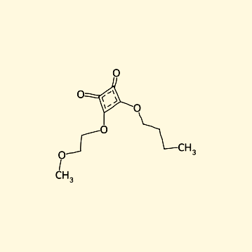 CCCCOc1c(OCCOC)c(=O)c1=O